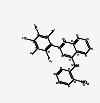 Cc1c(F)c(F)c(F)c(-c2cc(Nc3ccncc3[N+](=O)[O-])c3cccnc3n2)c1F